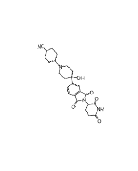 N#CC1CCC(N2CCC(O)(c3ccc4c(c3)C(=O)N(C3CCC(=O)NC3=O)C4=O)CC2)CC1